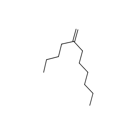 C=C(CCCC)CCCCCC